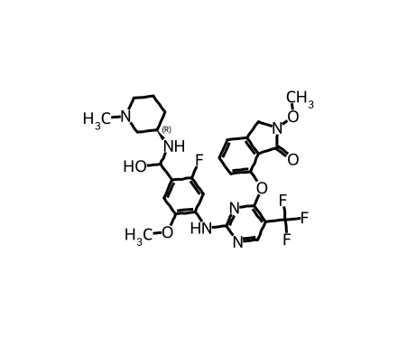 COc1cc(C(O)N[C@@H]2CCCN(C)C2)c(F)cc1Nc1ncc(C(F)(F)F)c(Oc2cccc3c2C(=O)N(OC)C3)n1